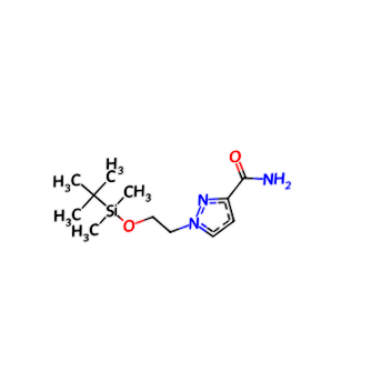 CC(C)(C)[Si](C)(C)OCCn1ccc(C(N)=O)n1